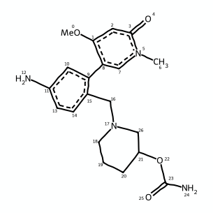 COc1cc(=O)n(C)cc1-c1cc(N)ccc1CN1CCCC(OC(N)=O)C1